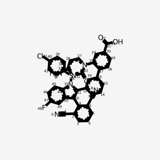 N#Cc1cccc(C#N)c1-c1c(-c2cccc(-c3ccc(C(=O)O)cc3-n3ccc(N)nc3=O)c2)n(Sc2ccc(Cl)cc2)c2ccc(F)cc12